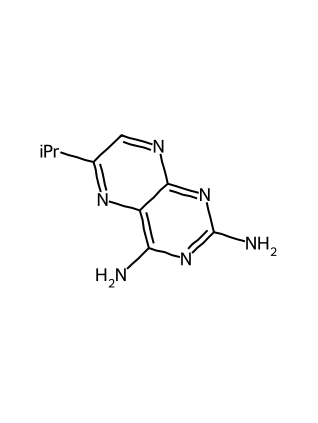 CC(C)c1cnc2nc(N)nc(N)c2n1